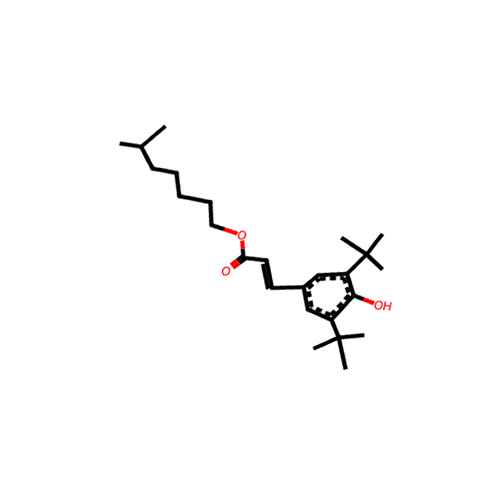 CC(C)CCCCCOC(=O)/C=C/c1cc(C(C)(C)C)c(O)c(C(C)(C)C)c1